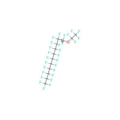 FC(F)(F)C(F)(F)O[Si](F)(F)C(F)(F)C(F)(F)C(F)(F)C(F)(F)C(F)(F)C(F)(F)C(F)(F)C(F)(F)C(F)(F)C(F)(F)F